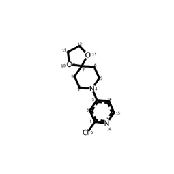 Clc1cc(N2CCC3(CC2)OCCO3)ccn1